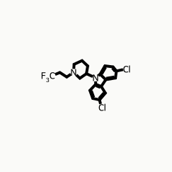 FC(F)(F)CCN1CCCC(n2c3ccc(Cl)cc3c3cc(Cl)ccc32)C1